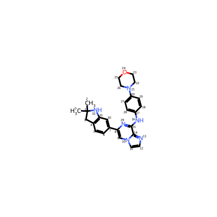 CC1(C)[CH]c2ccc(-c3cn4ccnc4c(Nc4ccc(N5CCOCC5)cc4)n3)cc2N1